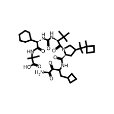 CC(C)(NC(=O)[C@@H](NC(=O)N[C@H](C(=O)N1CC(C(C)(C)C2(C)CCC2)C[C@H]1C(=O)NC(CC1CCC1)C(=O)C(N)=O)C(C)(C)C)C1CCCCC1)C(=O)O